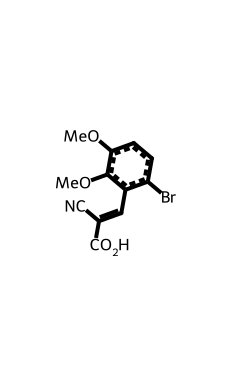 COc1ccc(Br)c(/C=C(\C#N)C(=O)O)c1OC